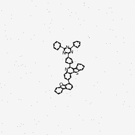 c1ccc(-c2nc(-c3ccccc3)nc(-c3ccc(-c4nc5ccc(-c6cccc7c6oc6ccccc67)cc5c5sc6ccccc6c45)cc3)n2)cc1